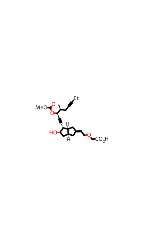 CCC#CC[C@H](C)[C@@H](C#C[C@@H]1[C@H]2C/C(=C/COCC(=O)O)C[C@H]2C[C@H]1O)OC(=O)OC